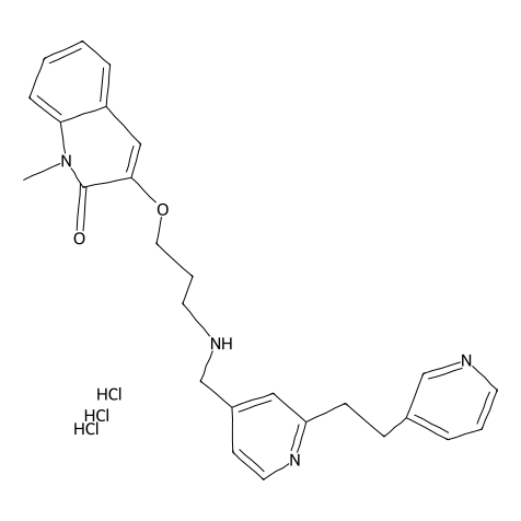 Cl.Cl.Cl.Cn1c(=O)c(OCCCNCc2ccnc(CCc3cccnc3)c2)cc2ccccc21